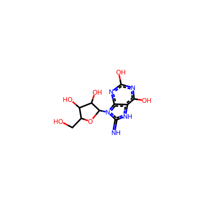 N=c1[nH]c2c(O)nc(O)nc2n1C1OC(CO)C(O)C1O